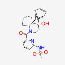 CS(=O)(=O)Nc1cccc(C(=O)N2CC[C@](O)(c3ccccc3)[C@H]3CCCCC32)n1